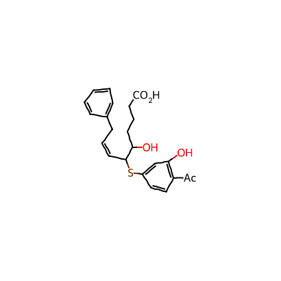 CC(=O)c1ccc(SC(/C=C\Cc2ccccc2)C(O)CCCC(=O)O)cc1O